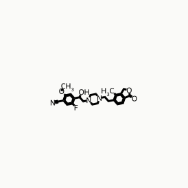 COc1cc(C(O)CN2CCN(CCc3ccc4c(c3C)COC4=O)CC2)c(F)cc1C#N